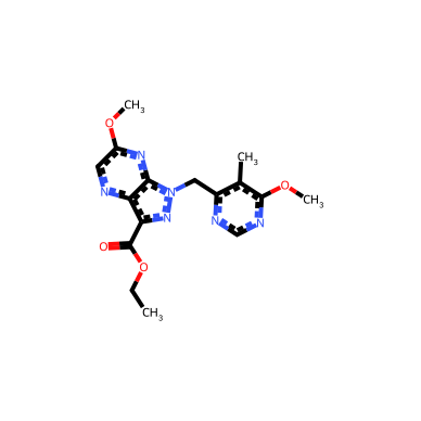 CCOC(=O)c1nn(Cc2ncnc(OC)c2C)c2nc(OC)cnc12